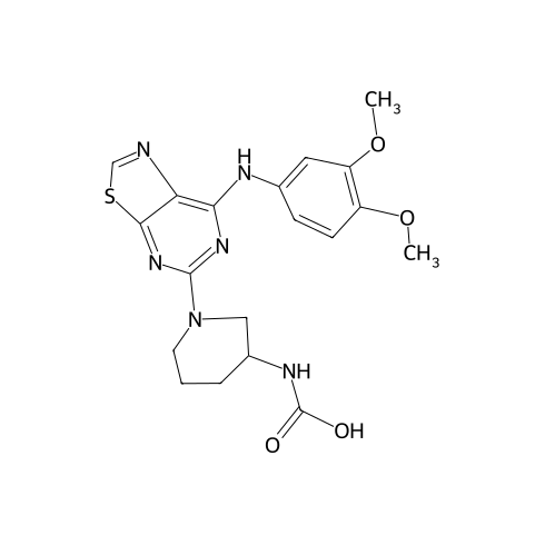 COc1ccc(Nc2nc(N3CCCC(NC(=O)O)C3)nc3scnc23)cc1OC